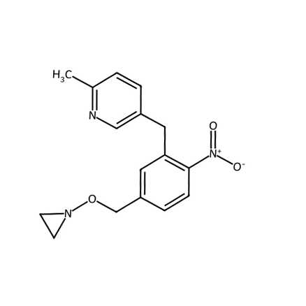 Cc1ccc(Cc2cc(CON3CC3)ccc2[N+](=O)[O-])cn1